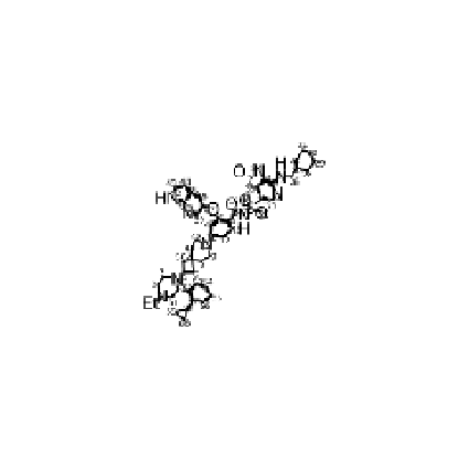 CCN1CCN(C2CC3(CCN(c4ccc(C(=O)NS(=O)(=O)c5cnc(NCC6CCCCC6)c([N+](=O)[O-])c5)c(Oc5cnc6[nH]ccc6c5)c4)CC3)C2)[C@H](c2ccccc2C2CC2)C1